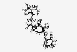 Cc1cnc(-c2cccc3c2OCC3(C)O)cc1-n1c(C)cc(OCc2ncc(F)cc2F)c(Cl)c1=O